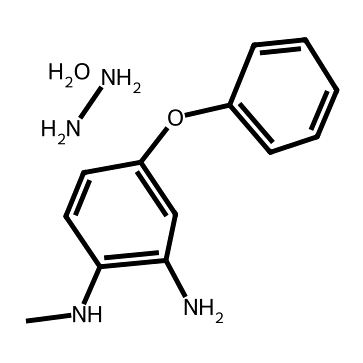 CNc1ccc(Oc2ccccc2)cc1N.NN.O